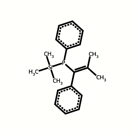 CC(C)=C(c1ccccc1)P(c1ccccc1)[Si](C)(C)C